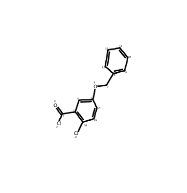 O=C(Cl)c1cc(OCc2ccccc2)ccc1Cl